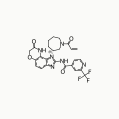 C=CC(=O)N1CCCC[C@@H](n2c(NC(=O)c3ccnc(C(F)(F)F)c3)nc3ccc4c(c32)NC(=O)CO4)C1